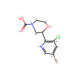 O=C(O)N1CCOC(c2ncc(Br)cc2Cl)C1